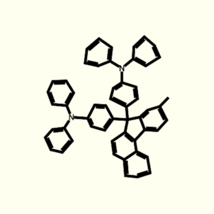 Cc1ccc2c(c1)C(c1ccc(N(c3ccccc3)c3ccccc3)cc1)(c1ccc(N(c3ccccc3)c3ccccc3)cc1)c1ccc3ccccc3c1-2